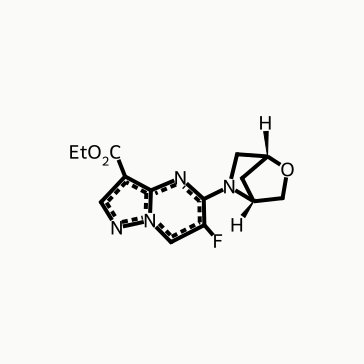 CCOC(=O)c1cnn2cc(F)c(N3C[C@H]4C[C@@H]3CO4)nc12